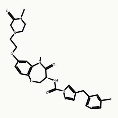 CN1CCN(CCOc2ccc3c(c2)N(C)C(=O)[C@@H](NC(=O)n2cc(Cc4cccc(F)c4)cn2)CO3)CC1=O